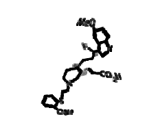 COc1ccc2nccc([C@H](F)CC[C@@H]3CCN(CCSc4ccccc4OC)C[C@H]3CCC(=O)O)c2c1